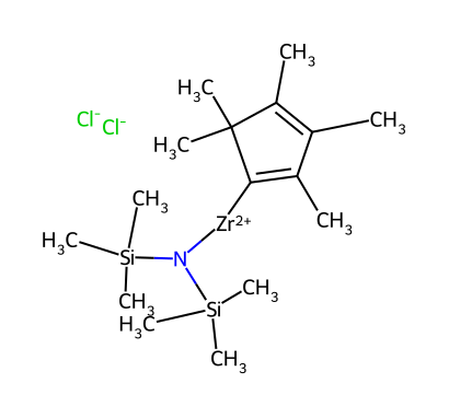 CC1=C(C)C(C)(C)[C]([Zr+2][N]([Si](C)(C)C)[Si](C)(C)C)=C1C.[Cl-].[Cl-]